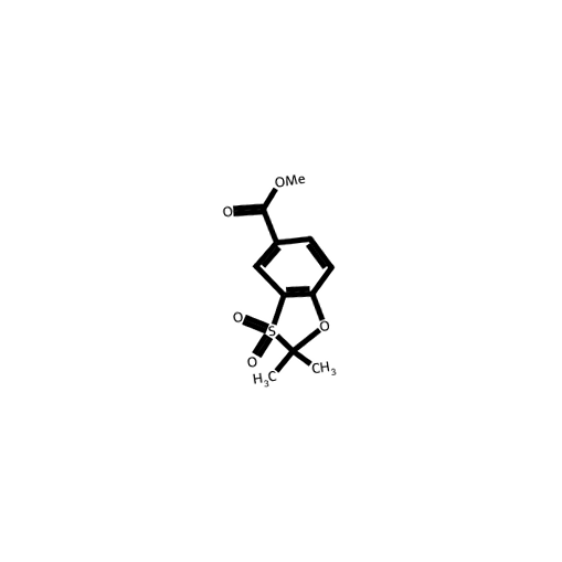 COC(=O)c1ccc2c(c1)S(=O)(=O)C(C)(C)O2